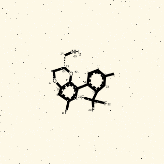 Cc1ccc(-c2cc(F)cc3c2O[C@@H](CN)CO3)c(C(F)(F)F)c1